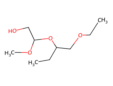 CCOCC(CC)OC(CO)OC